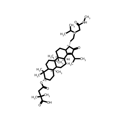 CNC(=O)CN(CC[C@@H]1C(=O)C(C(C)C)=C2C1CC[C@]1(C)[C@@H]2CCC2[C@@]3(C)CC[C@H](OC(=O)CC(C)(C)C(=O)O)C(C)(C)C3CC[C@]21C)C(C)C